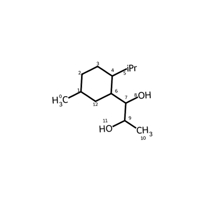 CC1CCC(C(C)C)C(C(O)C(C)O)C1